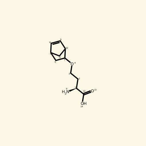 N[C@@H](CCOC1CC2C=CC1C2)C(=O)O